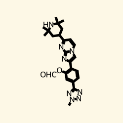 Cn1nnc(-c2ccc(-c3cn4ccc(C5CC(C)(C)NC(C)(C)C5)nc4n3)c(OC=O)c2)n1